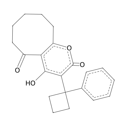 O=C1CCCCCc2oc(=O)c(C3(c4ccccc4)CCC3)c(O)c21